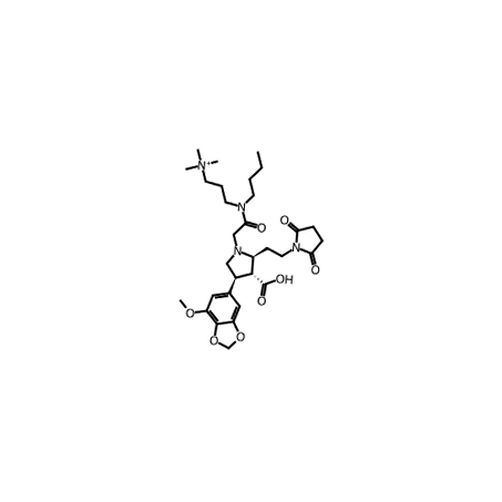 CCCCN(CCC[N+](C)(C)C)C(=O)CN1C[C@H](c2cc(OC)c3c(c2)OCO3)[C@@H](C(=O)O)[C@@H]1CCN1C(=O)CCC1=O